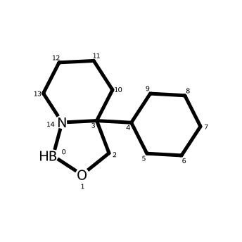 B1OCC2(C3CCCCC3)CCCCN12